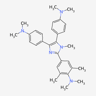 Cc1cc(-c2nc(-c3ccc(N(C)C)cc3)c(-c3ccc(N(C)C)cc3)n2C)cc(C)c1N(C)C